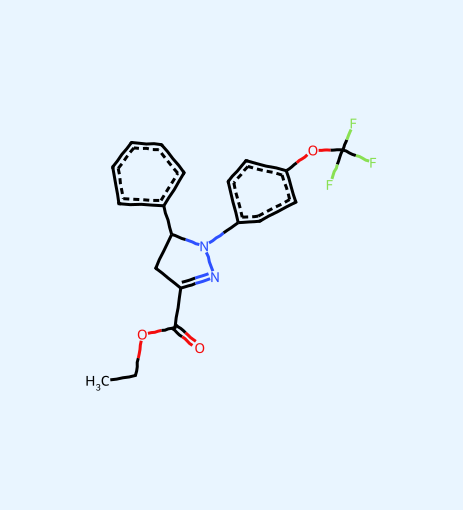 CCOC(=O)C1=NN(c2ccc(OC(F)(F)F)cc2)C(c2ccccc2)C1